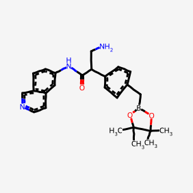 CC1(C)OB(Cc2ccc(C(CN)C(=O)Nc3ccc4cnccc4c3)cc2)OC1(C)C